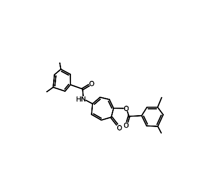 Cc1cc(C)cc(C(=O)Nc2ccc(OC(=O)c3cc(C)cc(C)c3)c(=O)cc2)c1